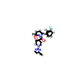 C#Cc1ccnc(N2CCC3(CC2)O[C@@H]2CC[C@@H](c4cc(F)cc(F)c4)N2C3=O)n1